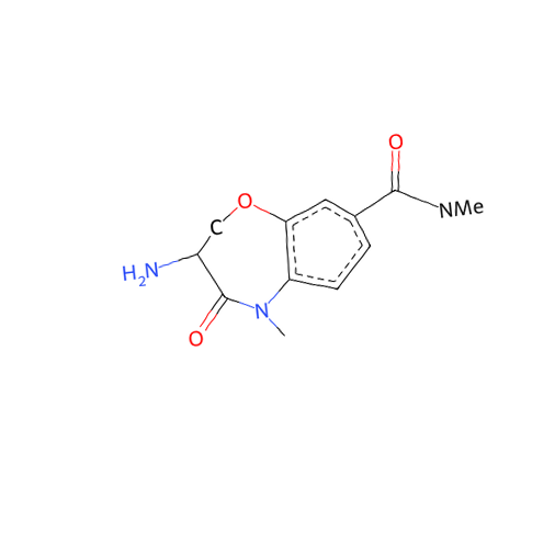 CNC(=O)c1ccc2c(c1)OCC(N)C(=O)N2C